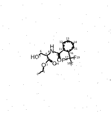 CCOC(=O)C(CO)NC(=O)c1ccccc1C(F)(F)F